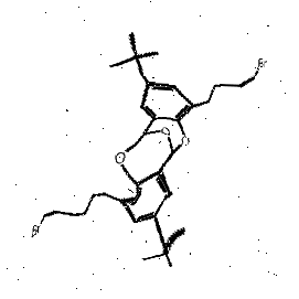 CC(C)(C)c1cc(CCCBr)c2c(c1)C1Oc3c(CCCBr)cc(C(C)(C)C)cc3C(O2)O1